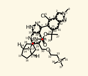 Cn1cc2c(Cl)c(-c3n[nH]c4nc(N5[C@@H]6CC[C@H]5C[C@@H](NC(=O)OC(C)(C)C)C6)c(COCC[Si](C)(C)C)nc34)ccc2n1